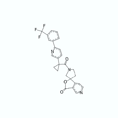 O=C1OC2(CCN(C(=O)C3(c4ccc(-c5cccc(C(F)(F)F)c5)nc4)CC3)C2)c2ccncc21